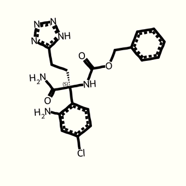 NC(=O)[C@@](CCc1nnn[nH]1)(NC(=O)OCc1ccccc1)c1ccc(Cl)cc1N